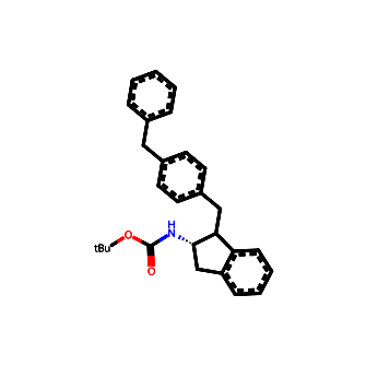 CC(C)(C)OC(=O)N[C@H]1Cc2ccccc2C1Cc1ccc(Cc2ccccc2)cc1